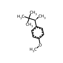 COc1ccc([C@H](C)C(C)(C)C)cc1